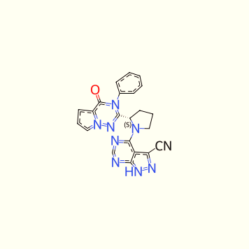 N#Cc1n[nH]c2ncnc(N3CCC[C@H]3c3nn4cccc4c(=O)n3-c3ccccc3)c12